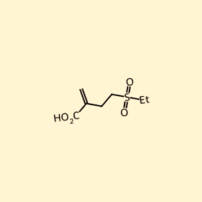 C=C(CCS(=O)(=O)CC)C(=O)O